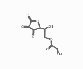 O=C(CO)OCC(O)C1OC(=O)C(=O)C1=O